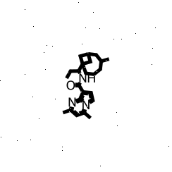 CCC(NC(=O)c1ccn2c(C)cc(C)nc12)C12CCCC(C)CC(C1)C2